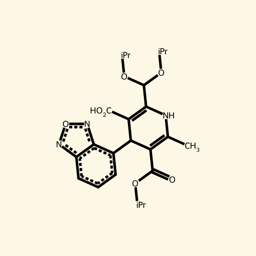 CC1=C(C(=O)OC(C)C)C(c2cccc3nonc23)C(C(=O)O)=C(C(OC(C)C)OC(C)C)N1